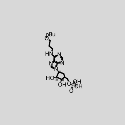 CCCCOCCCNc1ncnc2c1ncn2[C@@H]1CC(COP(=O)(O)O)[C@@H](O)[C@H]1O